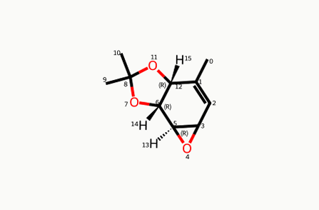 CC1=CC2O[C@H]2[C@@H]2OC(C)(C)O[C@H]12